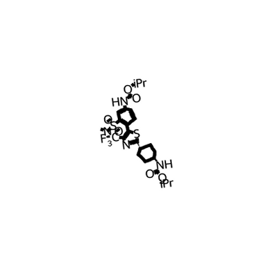 CC(C)OC(=O)Nc1ccc(-c2sc([C@H]3CC[C@H](NC(=O)OC(C)C)CC3)nc2C(F)(F)F)c(S(=O)(=O)N(C)C)c1